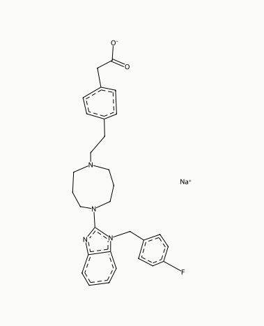 O=C([O-])Cc1ccc(CCN2CCCN(c3nc4ccccc4n3Cc3ccc(F)cc3)CCC2)cc1.[Na+]